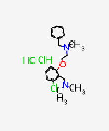 CN(C)Cc1c(Cl)cccc1OCCN(C)Cc1ccccc1.Cl.Cl